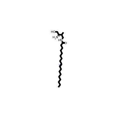 CCCCCCCC/C=C/CCCCCCCC(=O)NCC(C)[C@@H](N)CO